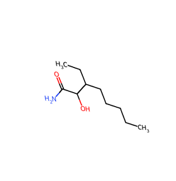 CCCCCC(CC)C(O)C(N)=O